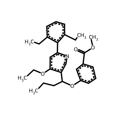 CCCC(Oc1cccc(C(=O)OC)c1)c1cnc(-c2c(CC)cccc2CC)cc1OCC